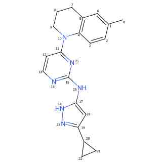 Cc1ccc2c(c1)CCCN2c1ccnc(Nc2cc(C3CC3)n[nH]2)n1